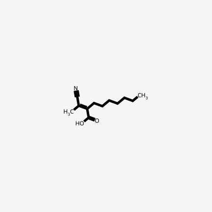 CCCCCCCC(C(=O)O)=C(C)C#N